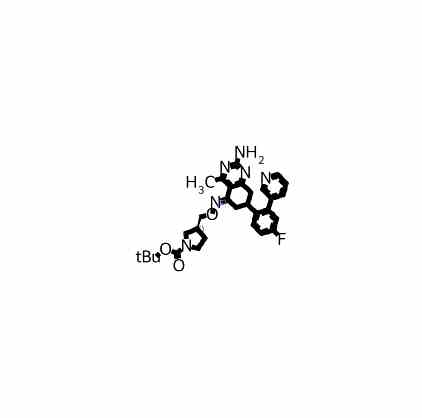 Cc1nc(N)nc2c1/C(=N/OC[C@H]1CCN(C(=O)OC(C)(C)C)C1)CC(c1ccc(F)cc1-c1cccnc1)C2